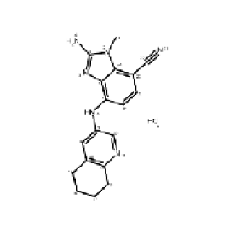 Cl.Cn1c(N)nc2c(Nc3cnc4c(c3)CCCC4)ccc(C#N)c21